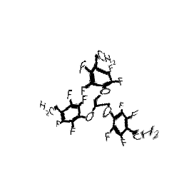 C=Cc1c(F)c(F)c(OCC(COc2c(F)c(F)c(C=C)c(F)c2F)Oc2c(F)c(F)c(C=C)c(F)c2F)c(F)c1F